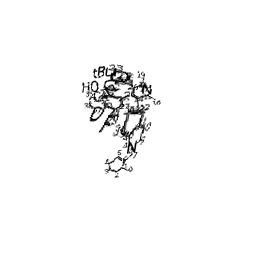 Cc1ccccc1CN1CCc2cc(-c3c(C)nc(C)c([C@H](OC(C)(C)C)C(=O)O)c3-c3cc(F)c4c(c3C)CCCO4)ccc2C1